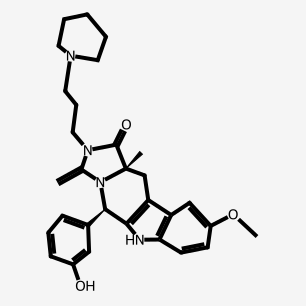 C=C1N(CCCN2CCCCC2)C(=O)[C@]2(C)Cc3c([nH]c4ccc(OC)cc34)[C@@H](c3cccc(O)c3)N12